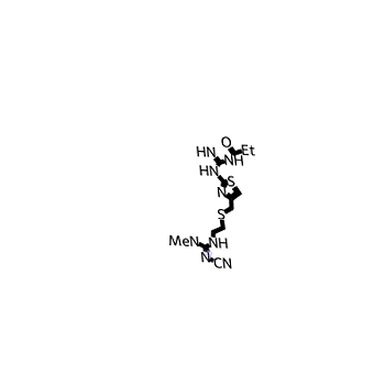 CCC(=O)NC(=N)Nc1nc(CSCCN/C(=N\C#N)NC)cs1